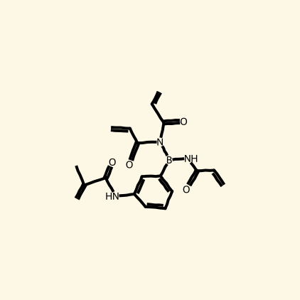 C=CC(=O)NB(c1cccc(NC(=O)C(=C)C)c1)N(C(=O)C=C)C(=O)C=C